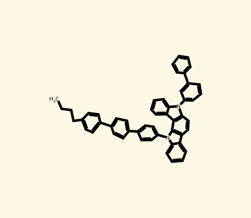 CCCCc1ccc(-c2ccc(-c3ccc(-n4c5ccccc5c5ccc6c(c7ccccc7n6-c6cccc(-c7ccccc7)c6)c54)cc3)cc2)cc1